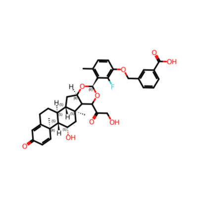 Cc1ccc(OCc2cccc(C(=O)O)c2)c(F)c1[C@H]1OC(C(=O)CO)C2[C@@H](C[C@H]3[C@@H]4CCC5=CC(=O)C=C[C@]5(C)[C@H]4[C@@H](O)C[C@]23C)O1